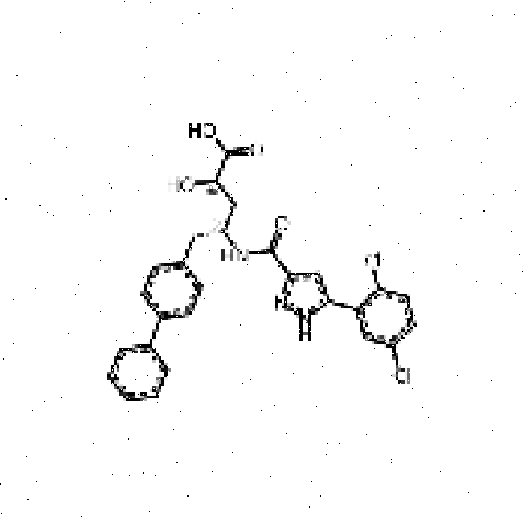 O=C(N[C@H](Cc1ccc(-c2ccccc2)cc1)C[C@@H](O)C(=O)O)c1cc(-c2cc(Cl)ccc2Cl)[nH]n1